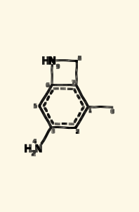 Cc1cc(N)cc2c1CN2